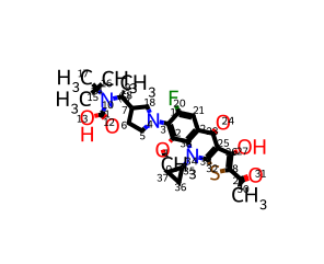 COc1c(N2CCC([C@H](C)N(C(=O)O)C(C)(C)C)C2)c(F)cc2c(=O)c3c(O)c(C(C)=O)sc3n(C3CC3)c12